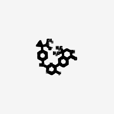 C[S+]([O-])C1(c2ccc(Nc3ncc(F)c(-c4ccc5c(c4)C(C)(C)CNC5=O)n3)cc2)CC1